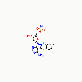 Cc1ccc(Sc2nn([C@H]3C[C@H](O)[C@@H](COS(N)(=O)=O)O3)c3ncnc(N)c23)c(F)c1